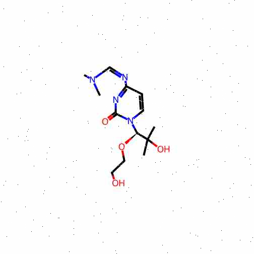 CN(C)/C=N\c1ccn([C@H](OCCO)C(C)(C)O)c(=O)n1